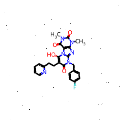 Cn1c(=O)c2c(nc3n(Cc4ccc(F)cc4)c(=O)c(CCc4ccccn4)c(O)n23)n(C)c1=O